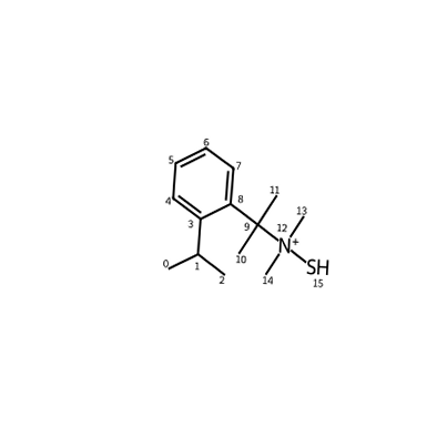 CC(C)c1ccccc1C(C)(C)[N+](C)(C)S